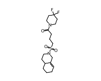 O=C(CCCS(=O)(=O)N1CCC2CCCC=C2C1)N1CCC(F)(F)CC1